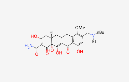 CCCCN(CC)Cc1cc(O)c2c(c1OC)CC1C[C@H]3CC(O)=C(C(N)=O)C(=O)[C@@]3(O)C(O)=C1C2=O